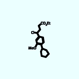 CCOC(=O)CCC(Cl)c1ccc(C2CCCCC2)c(OC)c1